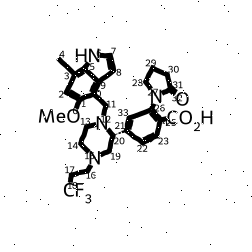 COc1cc(C)c2[nH]ccc2c1CN1CCN(CCC(F)(F)F)C[C@H]1c1ccc(C(=O)O)c(N2CCCC2=O)c1